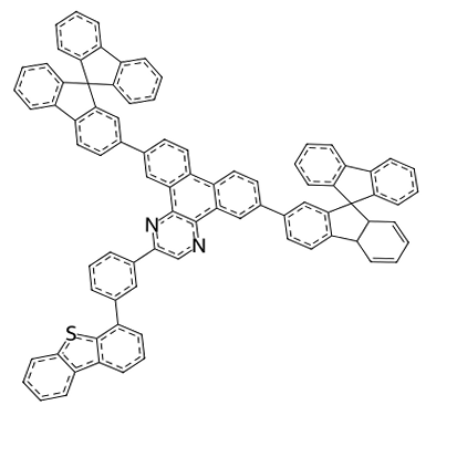 C1=CC2c3ccc(-c4ccc5c6ccc(-c7ccc8c(c7)C7(c9ccccc9-c9ccccc97)c7ccccc7-8)cc6c6nc(-c7cccc(-c8cccc9c8sc8ccccc89)c7)cnc6c5c4)cc3C3(c4ccccc4-c4ccccc43)C2C=C1